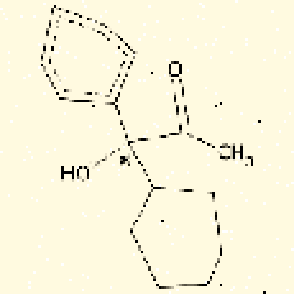 CC(=O)[C@](O)(c1ccccc1)C1CCCCC1